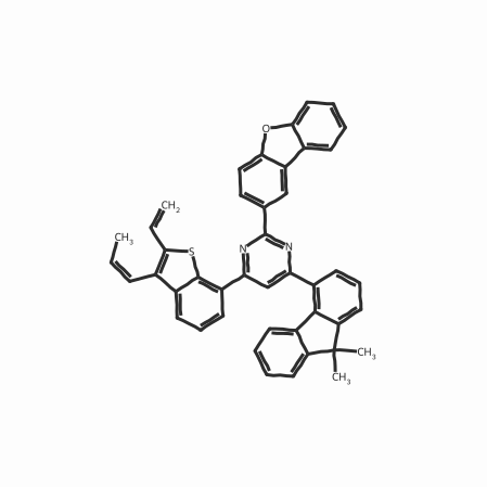 C=Cc1sc2c(-c3cc(-c4cccc5c4-c4ccccc4C5(C)C)nc(-c4ccc5oc6ccccc6c5c4)n3)cccc2c1/C=C\C